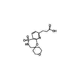 O=C(O)CCc1ccc2c(n1)OC1(CCOCC1)CNS2(=O)=O